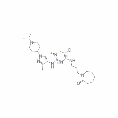 C=N/C(=N\C(NCCCN1CCCCCC1=O)=C(/C)Cl)Nc1cn(C2CCN(C(C)C)CC2)nc1C